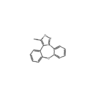 Cc1onc2c1-c1ccccc1Oc1ccccc1-2